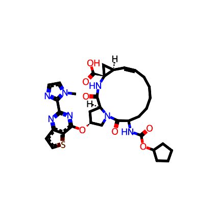 Cn1ccnc1-c1nc(O[C@@H]2C[C@H]3C(=O)N[C@]4(C(=O)O)C[C@H]4C=CCCCCCC(NC(=O)OC4CCCC4)C(=O)N3C2)c2sccc2n1